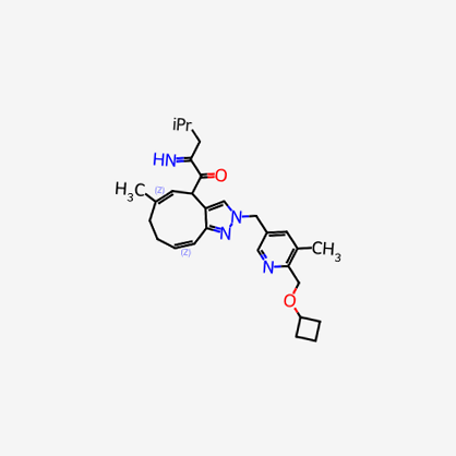 C/C1=C/C(C(=O)C(=N)CC(C)C)c2cn(Cc3cnc(COC4CCC4)c(C)c3)nc2/C=C\CC1